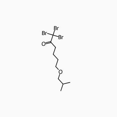 CC(C)COCCCCC(=O)C(Br)(Br)Br